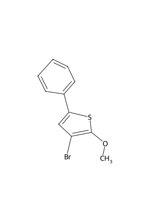 COc1sc(-c2ccccc2)cc1Br